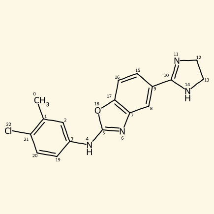 Cc1cc(Nc2nc3cc(C4=NCCN4)ccc3o2)ccc1Cl